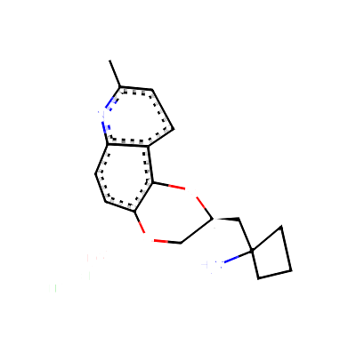 Cc1ccc2c3c(ccc2n1)OC[C@H](CC1(N)CCC1)O3.Cl.Cl.O.O